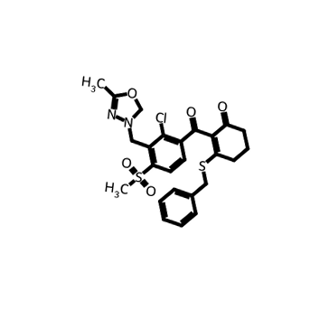 CC1=NN(Cc2c(S(C)(=O)=O)ccc(C(=O)C3=C(SCc4ccccc4)CCCC3=O)c2Cl)CO1